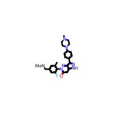 CNCc1cc(C)c(-n2nc3c(-c4ccc(N5CCN(C)CC5)cc4)n[nH]c3cc2=O)c(F)c1